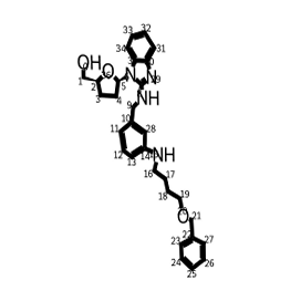 OC[C@@H]1CC[C@H](n2c(NCc3cccc(NCCCCOCc4ccccc4)c3)nc3ccccc32)O1